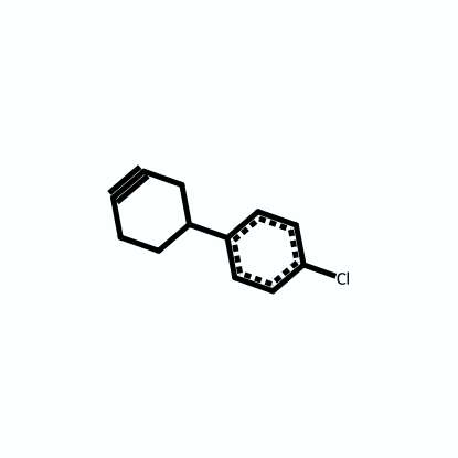 Clc1ccc(C2CC#CCC2)cc1